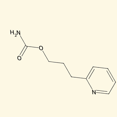 NC(=O)OCCCc1ccccn1